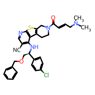 CN(C)C/C=C/C(=O)N1CCc2c(sc3ncc(C#N)c(N[C@H](COCc4ccccc4)c4ccc(Cl)cc4)c23)C1